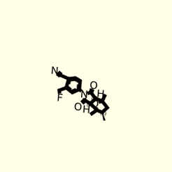 C[C@@H]1CC2(C)OC1(C)[C@@H]1C(=O)N(c3ccc(C#N)c(CF)c3)C(=O)[C@@H]12